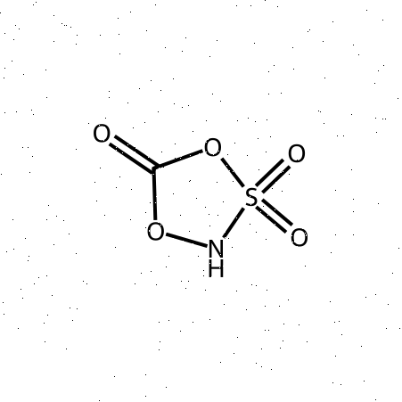 O=C1ONS(=O)(=O)O1